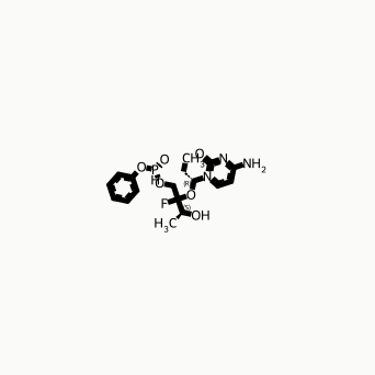 CC[C@@H](OC(F)(CO[PH](=O)Oc1ccccc1)[C@H](C)O)n1ccc(N)nc1=O